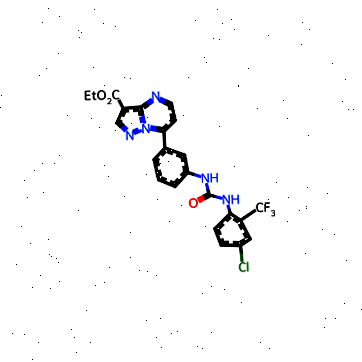 CCOC(=O)c1cnn2c(-c3cccc(NC(=O)Nc4ccc(Cl)cc4C(F)(F)F)c3)ccnc12